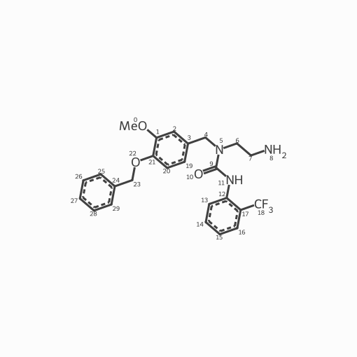 COc1cc(CN(CCN)C(=O)Nc2ccccc2C(F)(F)F)ccc1OCc1ccccc1